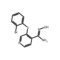 NC(=NO)c1ccncc1Sc1ccccc1Br